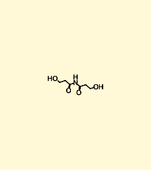 O=C(CCO)NC(=O)CCO